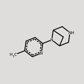 Cc1ccc(N2C3CNCC2C3)nc1